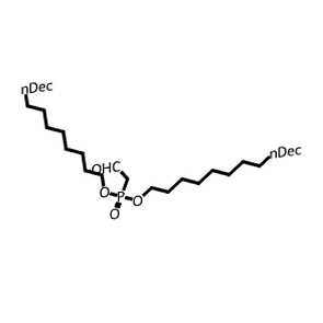 CCCCCCCCCCCCCCCCCCOP(=O)(C[C]=O)OCCCCCCCCCCCCCCCCCC